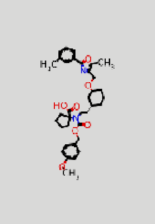 COc1ccc(COC(=O)N(CC[C@H]2CCC[C@@H](OCc3nc(-c4cccc(C)c4)oc3C)C2)C2(C(=O)O)CCCC2)cc1